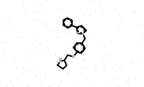 c1ccc(-c2ccn(Cc3ccc(OCC4CCCN4)cc3)n2)cc1